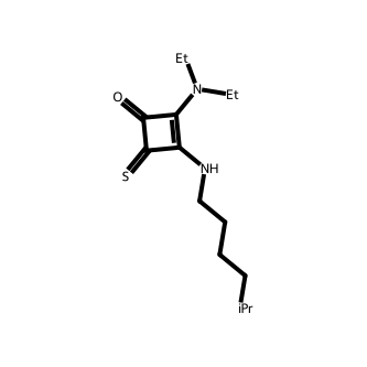 CCN(CC)c1c(NCCCCC(C)C)c(=S)c1=O